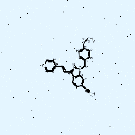 C#Cc1ccc2c(/C=C/c3ccncc3)nn(Cc3ccc(OC)cc3)c2c1